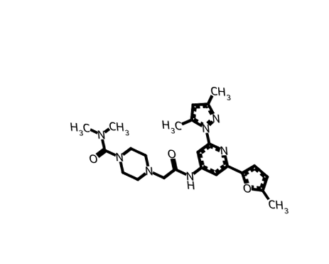 Cc1cc(C)n(-c2cc(NC(=O)CN3CCN(C(=O)N(C)C)CC3)cc(-c3ccc(C)o3)n2)n1